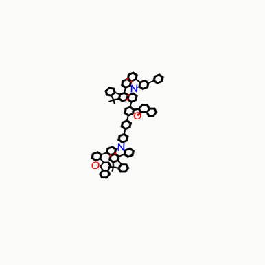 CC1(C)c2ccccc2-c2c(-c3ccccc3N(c3ccc(-c4ccc(-c5ccc(-c6ccc(N(c7ccc(-c8ccccc8)cc7-c7ccccc7)c7ccccc7-c7cccc8c7-c7ccccc7C8(C)C)cc6)c6c5oc5c7ccccc7ccc56)cc4)cc3)c3ccc(-c4cccc5c4C4C=Cc6ccccc6C4O5)cc3)cccc21